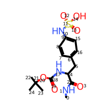 CNC(=O)C(Cc1ccc(NS(=O)(=O)O)cc1)NC(=O)OC(C)(C)C